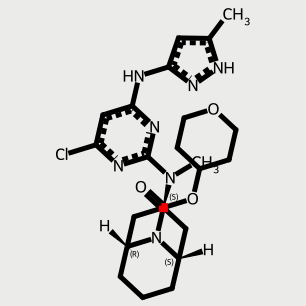 Cc1cc(Nc2cc(Cl)nc(N(C)[C@@H]3C[C@H]4CCC[C@@H](C3)N4C(=O)OC3CCOCC3)n2)n[nH]1